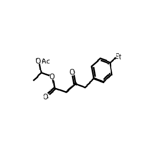 CCc1ccc(CC(=O)CC(=O)OC(C)OC(C)=O)cc1